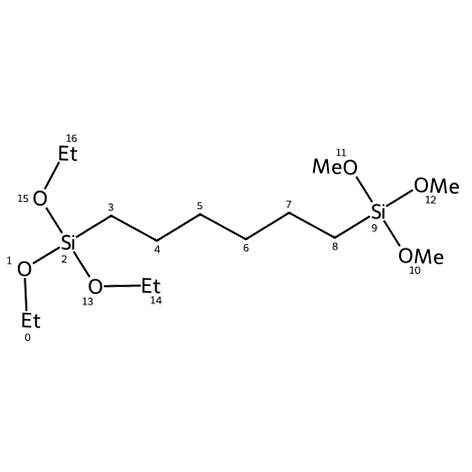 CCO[Si](CCCCCC[Si](OC)(OC)OC)(OCC)OCC